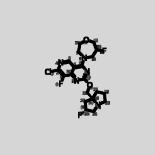 Fc1c(Cl)ncc2c(N3CCOCC(F)C3)nc(OC[C@@]34CCCN3C[C@H](F)C4)nc12